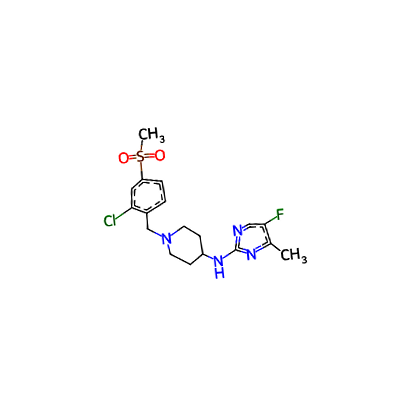 Cc1nc(NC2CCN(Cc3ccc(S(C)(=O)=O)cc3Cl)CC2)ncc1F